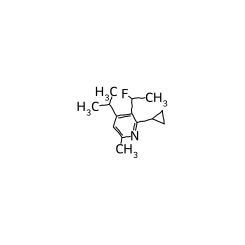 Cc1cc(C(C)C)c(C(C)F)c(C2CC2)n1